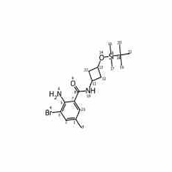 Cc1cc(Br)c(N)c(C(=O)NC2CC(O[Si](C)(C)C(C)(C)C)C2)c1